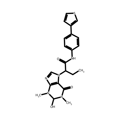 CCC(C(=O)Nc1ccc(-c2ccsc2)cc1)n1cnc2c1C(=O)N(C)C(O)N2C